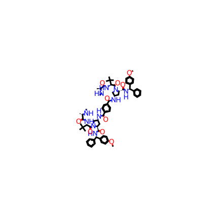 CN[C@@H](C)C(=O)N[C@H](C(=O)N1C[C@@H](NC(=O)c2ccc(C(=O)N[C@H]3C[C@@H](C(=O)N[C@@H](c4ccccc4)c4ccc(OC)cc4)N(C(=O)[C@@H](NC(=O)[C@H](C)NC)C(C)(C)C)C3)cc2)C[C@H]1C(=O)N[C@@H](c1ccccc1)c1ccc(OC)cc1)C(C)(C)C